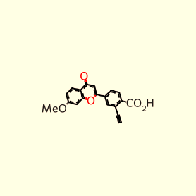 C#Cc1cc(-c2cc(=O)c3ccc(OC)cc3o2)ccc1C(=O)O